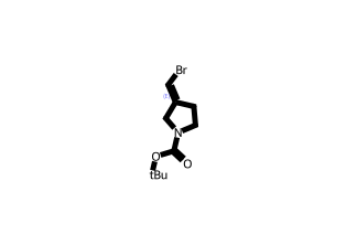 CC(C)(C)OC(=O)N1CC/C(=C\Br)C1